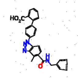 Cc1c(C(=O)NCc2ccccc2)ccc2c1nnn2-c1ccc(-c2ccccc2C(=O)O)cc1